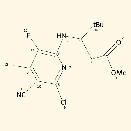 COC(=O)CC(Nc1nc(Cl)c(C#N)c(I)c1F)C(C)(C)C